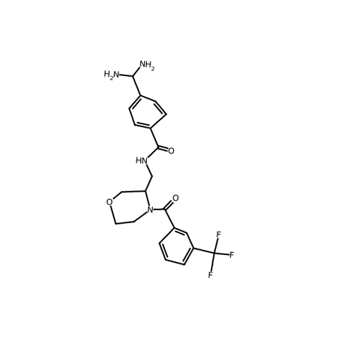 NC(N)c1ccc(C(=O)NCC2COCCN2C(=O)c2cccc(C(F)(F)F)c2)cc1